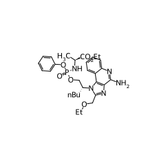 CCCC[C@H](CO[P@](=O)(N[C@@H](C)C(=O)OCC)Oc1ccccc1)n1c(COCC)nc2c(N)nc3ccccc3c21